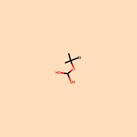 CCC(C)(C)OC(O)O